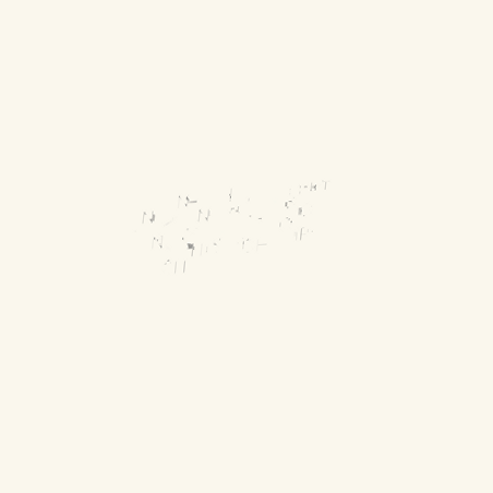 Cc1nc(N)c2ncn([C@H]3[C@H](O)[C@H](O)[C@@]4(CCP(=O)(OC(C)C)OC(C)C)C[C@H]34)c2n1